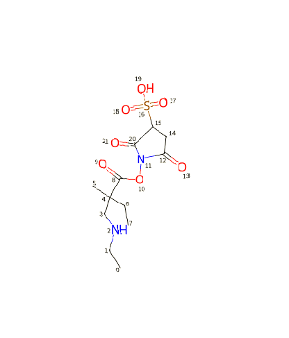 CCNCC(C)(CC)C(=O)ON1C(=O)CC(S(=O)(=O)O)C1=O